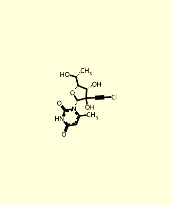 Cc1cc(=O)[nH]c(=O)n1[C@@H]1O[C@H]([C@@H](C)O)[C@H](O)C1(O)C#CCl